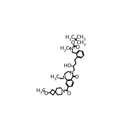 C=[N+](Cc1ccccc1CC[C@H](O)CN1CCN(CC)c2cc(C(=O)N3CCC4(CC3)CC(OC)C4)ccc2C1=O)C(=O)OC(C)(C)C